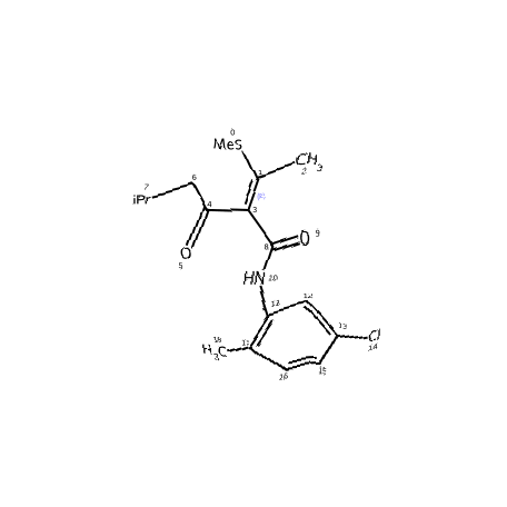 CS/C(C)=C(\C(=O)CC(C)C)C(=O)Nc1cc(Cl)ccc1C